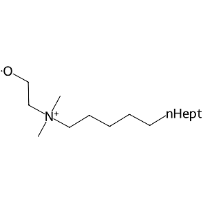 CCCCCCCCCCCC[N+](C)(C)CC[O]